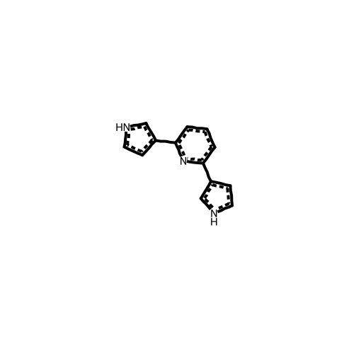 c1cc(-c2cc[nH]c2)nc(-c2cc[nH]c2)c1